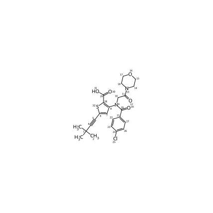 CC(C)(C)C#Cc1cc(N(CC(=O)N2CCOCC2)C(=O)c2ccc(Cl)cc2)c(C(=O)O)s1